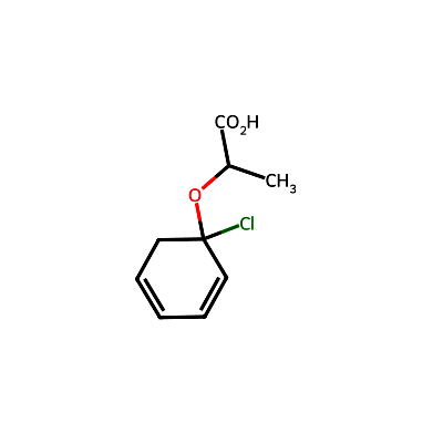 CC(OC1(Cl)C=CC=CC1)C(=O)O